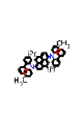 Cc1ccc(N(c2ccccc2-c2ccccc2)c2ccc3c(C(C)C)cc4c(N(c5ccc(C)cc5)c5ccccc5-c5ccccc5)ccc5c(C(C)C)cc2c3c54)cc1